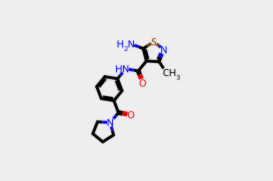 Cc1nsc(N)c1C(=O)Nc1cccc(C(=O)N2CCCC2)c1